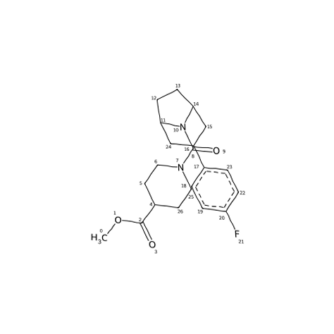 COC(=O)C1CCN(C(=O)N2C3CCC2CC(c2ccc(F)cc2)C3)CC1